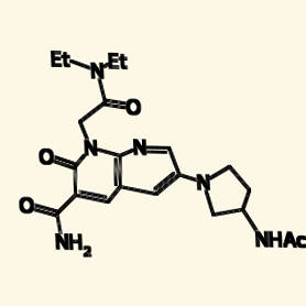 CCN(CC)C(=O)Cn1c(=O)c(C(N)=O)cc2cc(N3CCC(NC(C)=O)C3)cnc21